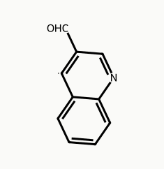 O=Cc1[c]c2ccccc2nc1